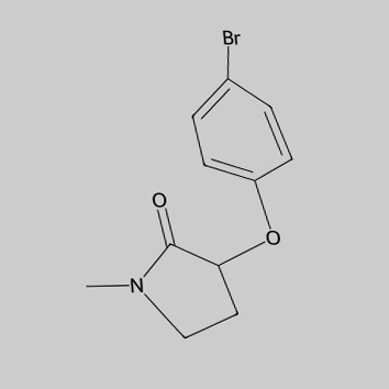 CN1CCC(Oc2ccc(Br)cc2)C1=O